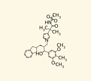 COc1cc([C@@H](O)[C@@H](CC2Cc3ccccc3C2)Cn2ccc(C(C)(C)C(=O)NS(C)(=O)=O)c2)cc(OC)c1C